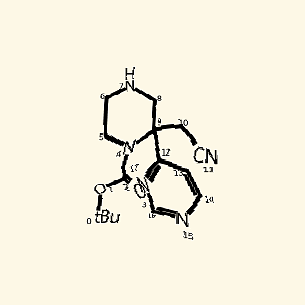 CC(C)(C)OC(=O)N1CCNCC1(CC#N)c1ccncn1